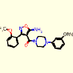 COc1cccc(N2CCN(C(=O)c3c(-c4ccccc4OC(F)(F)F)noc3N)CC2)c1